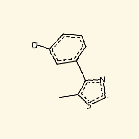 Cc1s[c]nc1-c1cccc(Cl)c1